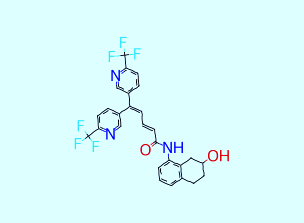 O=C(/C=C/C=C(c1ccc(C(F)(F)F)nc1)c1ccc(C(F)(F)F)nc1)Nc1cccc2c1CC(O)CC2